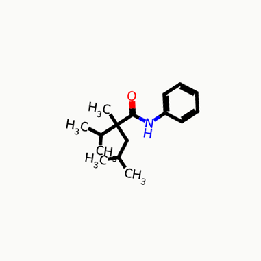 CC(C)CC(C)(C(=O)Nc1ccccc1)C(C)C